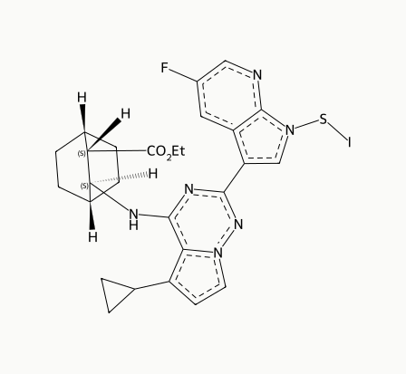 CCOC(=O)[C@H]1[C@H]2CC[C@H](CC2)[C@@H]1Nc1nc(-c2cn(SI)c3ncc(F)cc23)nn2ccc(C3CC3)c12